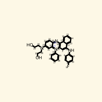 Cc1cc(Nc2ccc(F)cc2)c2ccccc2c1/N=C1/C=CC(N(CCO)CCO)=C/C1=N\c1ccccc1